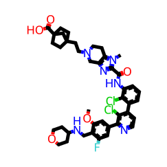 COc1cc(-c2nccc(-c3cccc(NC(=O)c4nc5c(n4C)CCN(CCC46CCC(C(=O)O)(CC4)C6)C5)c3Cl)c2Cl)cc(F)c1CNC1CCOCC1